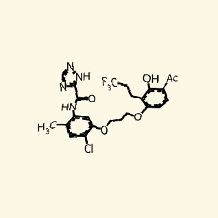 CC(=O)c1ccc(OCCCOc2cc(NC(=O)c3ncn[nH]3)c(C)cc2Cl)c(CCC(F)(F)F)c1O